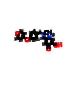 CN(Cc1ccc(OC2CCOCC2)cc1)Cc1cc(=O)c(O)c[nH]1